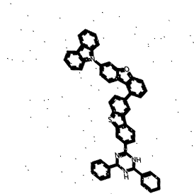 C1=CC(C2NC(c3ccc4c(c3)sc3ccc(-c5cccc6oc7cc(-n8c9ccccc9c9ccccc98)ccc7c56)cc34)=NC(c3ccccc3)N2)=CCC1